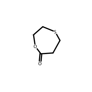 O=C1CCSC[CH]O1